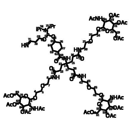 CC(=O)NC1C(OCCOCCNC(=O)CCC(CCC(=O)NCCOCCOC2OC(COC(C)=O)C(OC(C)=O)C(OC(C)=O)C2NC(C)=O)(CCC(=O)NCCOCCOC2OC(COC(C)=O)C(OC(C)=O)C(OC(C)=O)C2NC(C)=O)NC(=O)C2CCC(OP(OCCC=N)N(C(C)C)C(C)C)CC2)OC(COC(C)=O)C(OC(C)=O)C1OC(C)=O